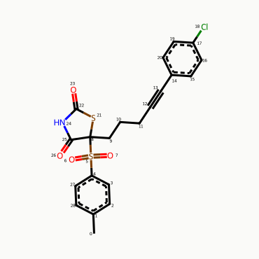 Cc1ccc(S(=O)(=O)C2(CCCC#Cc3ccc(Cl)cc3)SC(=O)NC2=O)cc1